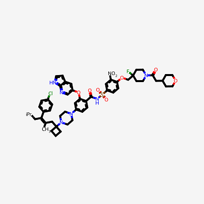 C/C(CC1(N2CCN(c3ccc(C(=O)NS(=O)(=O)c4ccc(OCC5(F)CCN(C(=O)CC6CCOCC6)CC5)c([N+](=O)[O-])c4)c(Oc4cnc5[nH]ccc5c4)c3)CC2)CCC1)=C(\CC(C)C)c1ccc(Cl)cc1